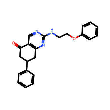 O=C1CC(c2ccccc2)Cc2nc(NCCOc3ccccc3)ncc21